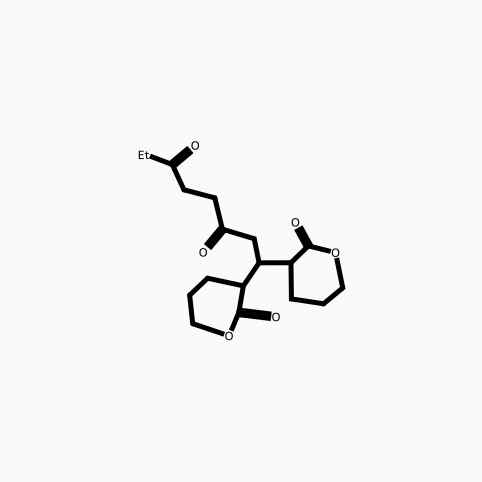 CCC(=O)CCC(=O)CC(C1CCCOC1=O)C1CCCOC1=O